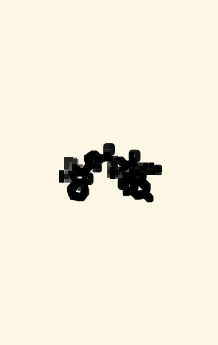 CCN(Nc1ccccn1)C(=O)c1ccc(C(=O)NCC(NS(=O)(=O)c2c(C)cc(C)cc2C)C(=O)OC)s1